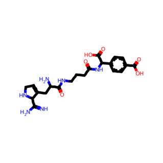 N=C(N)C1NCC=C1CC(N)C(=O)NCCCC(=O)NC(C(=O)O)c1ccc(C(=O)O)cc1